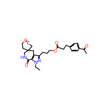 CCn1nc(CCCOC(=O)CCc2ccc(C(C)=O)cc2)c2c1C(=O)NCC1(CCOCC1)C2